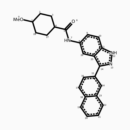 COC1CCC(C(=O)Nc2ccc3[nH]nc(-c4ccc5ccccc5c4)c3c2)CC1